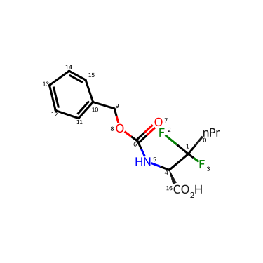 CCCC(F)(F)[C@H](NC(=O)OCc1ccccc1)C(=O)O